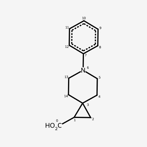 O=C(O)C1CC12CCN(c1ccccc1)CC2